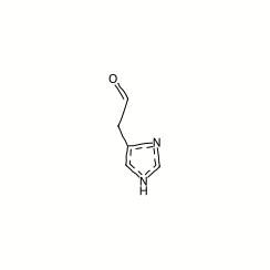 O=CCc1c[nH]cn1